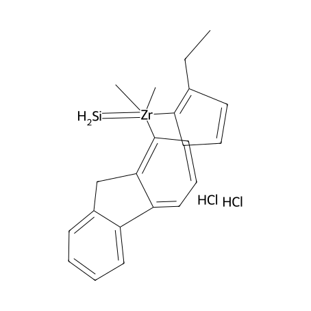 CCC1=[C]([Zr]([CH3])([CH3])(=[SiH2])[c]2cccc3c2Cc2ccccc2-3)CC=C1.Cl.Cl